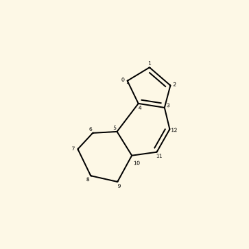 [CH]1C=CC2=C1C1CCCCC1C=C2